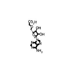 Nc1ncnc2c1ncn2[C@@H]1O[C@H](COCC(=O)O)[C@@H](O)[C@H]1O